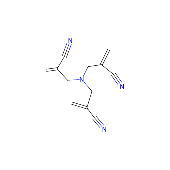 C=C(C#N)CN(CC(=C)C#N)CC(=C)C#N